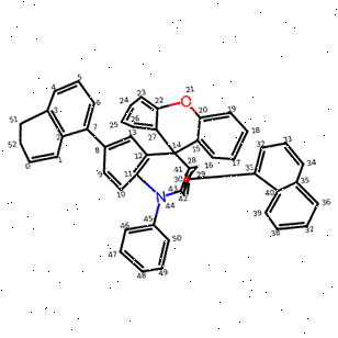 C1=Cc2c(cccc2-c2ccc3c(c2)C2(c4ccccc4Oc4ccccc42)c2cc(-c4cccc5ccccc45)ccc2N3c2ccccc2)CC1